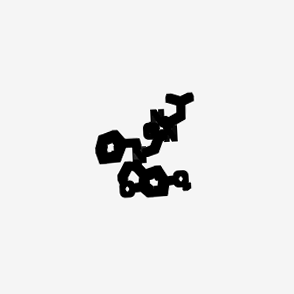 COc1ccc2c(c1)C(N(Cc1ccccc1)Cc1nc(CC(C)C)no1)CCO2